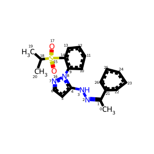 CC(=NNc1ccnn1-c1ccccc1S(=O)(=O)C(C)C)c1ccccc1